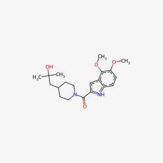 COc1ccc2[nH]c(C(=O)N3CCC(CC(C)(C)O)CC3)cc2c1OC